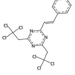 ClC(Cl)(Cl)Cc1nc(C=Cc2ccccc2)nc(CC(Cl)(Cl)Cl)n1